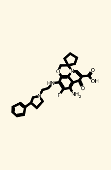 Nc1c(F)c(NCCN2CCC(c3ccccc3)C2)c2c3c1c(=O)c(C(=O)O)cn3C1(CCCC1)CO2